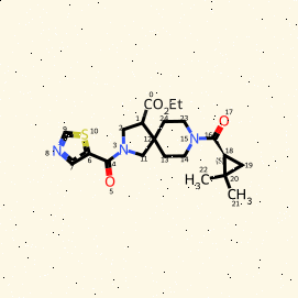 CCOC(=O)C1CN(C(=O)c2cncs2)CC12CCN(C(=O)[C@H]1CC1(C)C)CC2